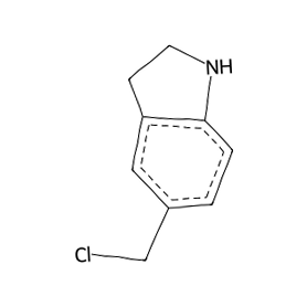 ClCc1ccc2c(c1)CCN2